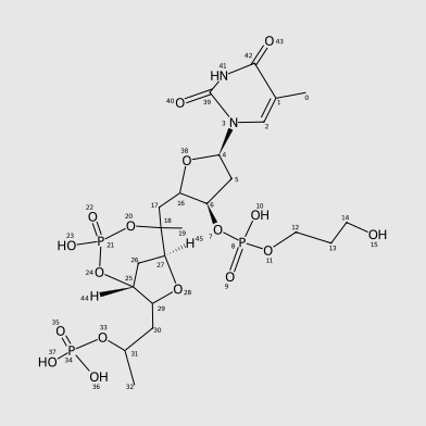 Cc1cn([C@H]2C[C@@H](OP(=O)(O)OCCCO)C(CC3(C)OP(=O)(O)O[C@@H]4C[C@@H]3OC4CC(C)OP(=O)(O)O)O2)c(=O)[nH]c1=O